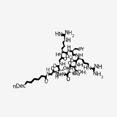 CCCCCCCCCCCCCCCC(=O)NCC(=O)N[C@@H](CO)C(=O)NCC(=O)N[C@@H](CCCNC(=N)N)C(=O)N[C@@H](CC(C)C)C(=O)N[C@@H](CCCNC(=N)N)C(=O)N[C@@H](CO)C(=O)N[C@H](C(=O)NC)[C@@H](C)CC